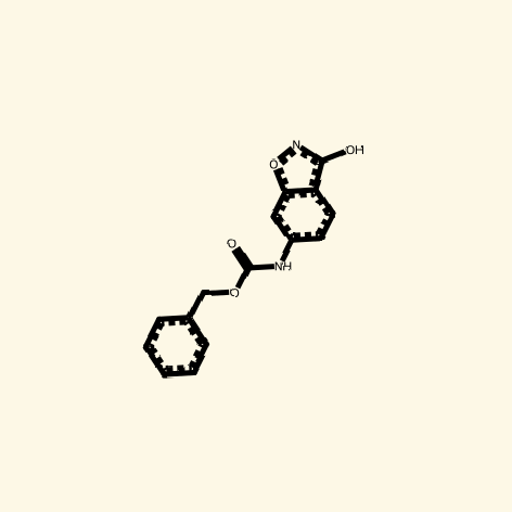 O=C(Nc1ccc2c(O)noc2c1)OCc1ccccc1